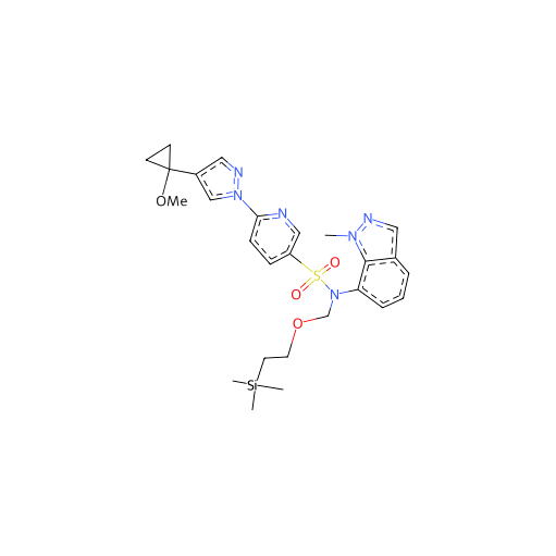 COC1(c2cnn(-c3ccc(S(=O)(=O)N(COCC[Si](C)(C)C)c4cccc5cnn(C)c45)cn3)c2)CC1